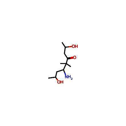 CC(O)CC(=O)C(C)(C)C(N)CC(C)O